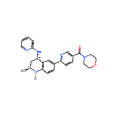 CC(=O)N1c2ccc(-c3ccc(C(=O)N4CCOCC4)cn3)cc2[C@H](Nc2ccccn2)C[C@@H]1C